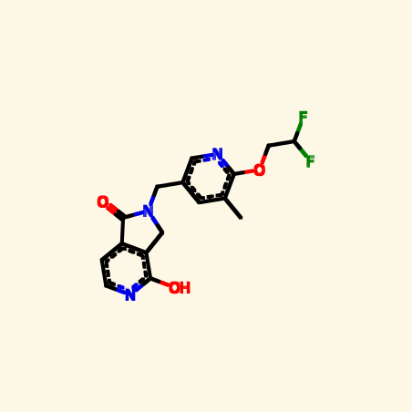 Cc1cc(CN2Cc3c(ccnc3O)C2=O)cnc1OCC(F)F